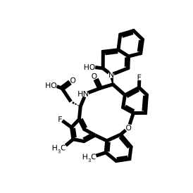 Cc1cc2cc(c1F)[C@H](CC(=O)O)NC(=O)[C@@H](N1C=c3ccccc3=CC1O)c1cc(ccc1F)Oc1cccc(C)c1-2